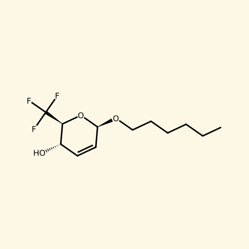 CCCCCCO[C@H]1C=C[C@H](O)[C@@H](C(F)(F)F)O1